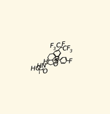 C[C@@H](O)C(=O)N[C@@H]1CC[C@@]2(S(=O)(=O)c3ccc(F)cc3)c3ccc(C(F)(C(F)(F)F)C(F)(F)F)cc3CC[C@@H]12